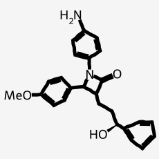 COc1ccc(C2C(CC[C@H](O)c3ccccc3)C(=O)N2c2ccc(N)cc2)cc1